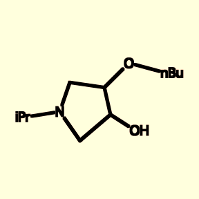 CCCCOC1CN(C(C)C)CC1O